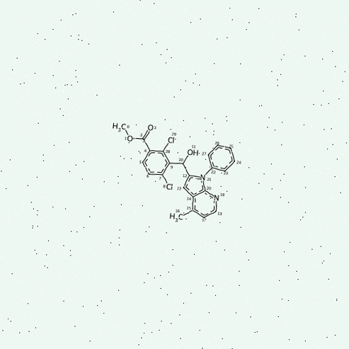 COC(=O)c1ccc(Cl)c(C(O)c2cc3c(C)ccnc3n2-c2ccccc2)c1Cl